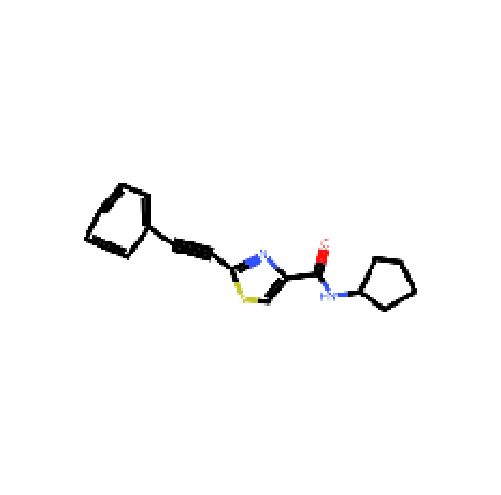 O=C(NC1CCCC1)c1csc(C#Cc2ccccc2)n1